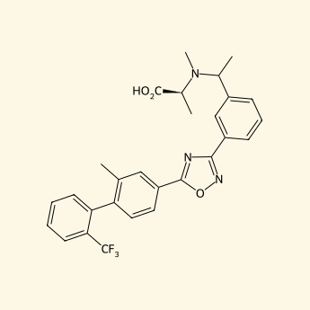 Cc1cc(-c2nc(-c3cccc(C(C)N(C)[C@@H](C)C(=O)O)c3)no2)ccc1-c1ccccc1C(F)(F)F